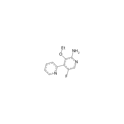 CCOc1c(N)ncc(F)c1-c1ccccn1